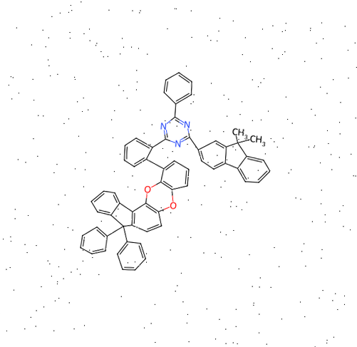 CC1(C)c2ccccc2-c2ccc(-c3nc(-c4ccccc4)nc(-c4ccccc4-c4cccc5c4Oc4c(ccc6c4-c4ccccc4C6(c4ccccc4)c4ccccc4)O5)n3)cc21